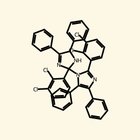 Clc1cccc(-c2nc(-c3ccccc3)c(-c3ccccc3)n2C2(c3cccc(Cl)c3Cl)N=C(c3ccccc3)C(c3ccccc3)N2)c1Cl